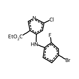 CCOC(=O)c1cnc(Cl)cc1Nc1ccc(Br)cc1F